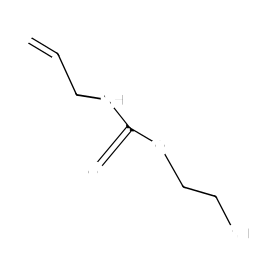 C=CCNC(=O)OCCS